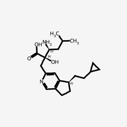 CC(C)C[C@H](N)[C@](O)(Cc1cc2c(cn1)CC[C@@H]2CCC1CC1)C(=O)O